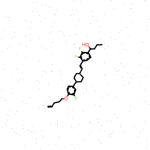 C=CCCCOc1ccc(C2CCC(/C=C/c3ccc(C(O)CCC)c(F)c3F)CC2)cc1F